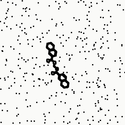 O=C(OCOC(=O)c1ccc2c(c1)CCCC2)c1ccc2c(c1)CCCC2